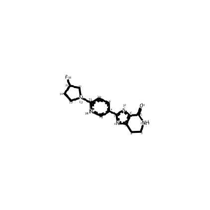 O=C1NCCc2nc(-c3ccc(N4CCC(F)C4)nc3)sc21